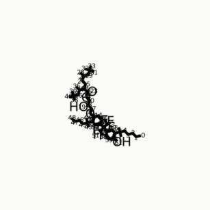 CCCCCC(C)(C)c1cc(C(c2ccc(OCC(O)COC(=O)C(CCC(C)CC(C)(C)C)C(C)CC(C)(C)C)c(C(C)(C)CCCC)c2)(C(F)(F)F)C(F)(F)F)ccc1O